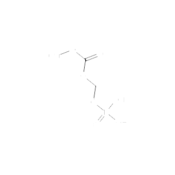 CC(C)(C)OC(=O)OCOP(=O)(O)O